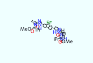 COC(=O)C[C@H](C(=O)N1CC2(CC2)C[C@H]1c1ncc(-c2ccc3c(c2)C(F)(F)c2cc(-c4ccc5nc([C@@H]6[C@H]7CC[C@H](C7)N6C(=O)[C@@H](NC(=O)OC)C(C)C)[nH]c5c4)ccc2-3)[nH]1)C(C)C